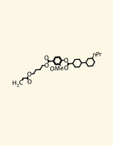 C=CC(=O)OCCCCOC(=O)c1ccc(OC(=O)C2CCC(C3CCCC(CCC)C3)CC2)c(OC)c1